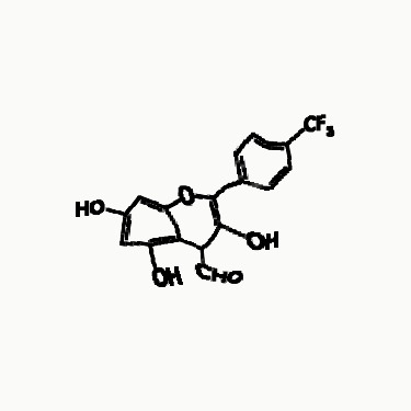 O=CC1C(O)=C(c2ccc(C(F)(F)F)cc2)Oc2cc(O)cc(O)c21